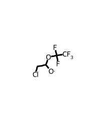 [O]C(CCl)OC(F)(F)C(F)(F)F